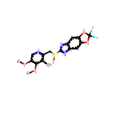 CCOc1cnc(C[S+]([O-])c2nc3cc4c(cc3[nH]2)OC(F)(F)O4)c(C)c1OCC